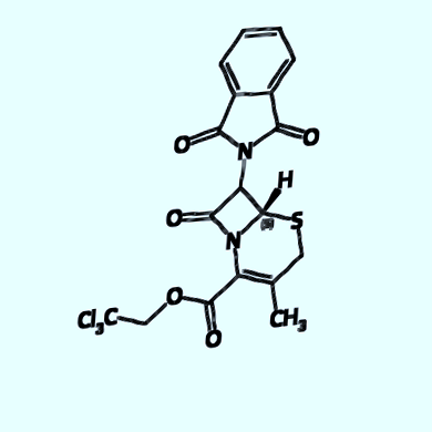 CC1=C(C(=O)OCC(Cl)(Cl)Cl)N2C(=O)C(N3C(=O)c4ccccc4C3=O)[C@@H]2SC1